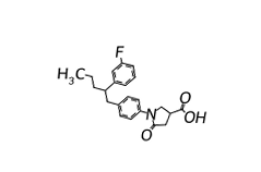 CCCC(Cc1ccc(N2CC(C(=O)O)CC2=O)cc1)c1cccc(F)c1